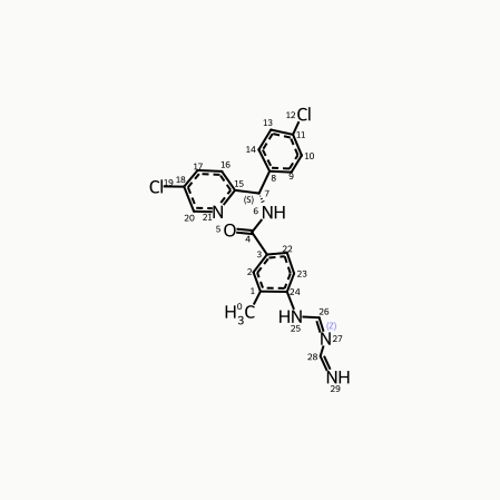 Cc1cc(C(=O)N[C@@H](c2ccc(Cl)cc2)c2ccc(Cl)cn2)ccc1N/C=N\C=N